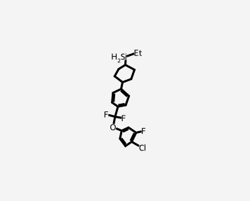 CC[SiH2]C1CCC(c2ccc(C(F)(F)Oc3ccc(Cl)c(F)c3)cc2)CC1